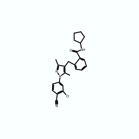 Cc1nn(-c2ccc(C#N)c(Cl)c2)c(C)c1Cc1ccccc1C(=O)NC1CCCC1